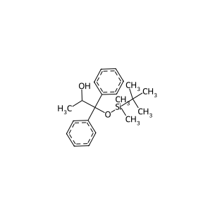 CC(O)C(O[Si](C)(C)C(C)(C)C)(c1ccccc1)c1ccccc1